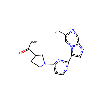 CNC(=O)C1CCN(c2ccnc(-c3cnc4cnc(C(F)(F)F)cn34)n2)C1